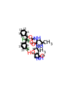 CC(C)C[C@H](NC(=O)O[C@H](c1ccccc1)C(F)(F)c1cccc(F)c1)C(=O)N[C@H](CO)C[C@@H]1CCNC1=O